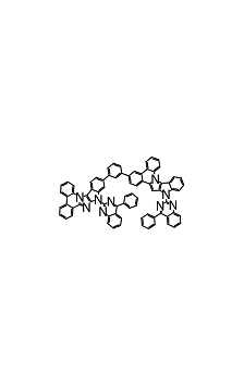 c1ccc(-c2nc(-n3c4ccccc4c4c3cc3c5ccc(-c6cccc(-c7ccc8c(c7)n(-c7nc(-c9ccccc9)c9ccccc9n7)c7nc9c%10ccccc%10c%10ccccc%10n9c87)c6)cc5c5ccccc5n34)nc3ccccc23)cc1